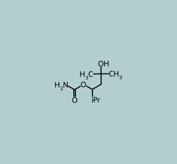 CC(C)C(CC(C)(C)O)OC(N)=O